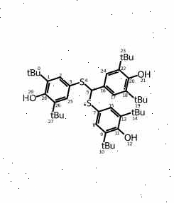 CC(C)(C)c1cc(SC(Sc2cc(C(C)(C)C)c(O)c(C(C)(C)C)c2)c2cc(C(C)(C)C)c(O)c(C(C)(C)C)c2)cc(C(C)(C)C)c1O